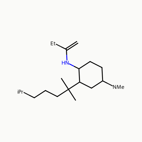 C=C(CC)NC1CCC(NC)CC1C(C)(C)CCCC(C)C